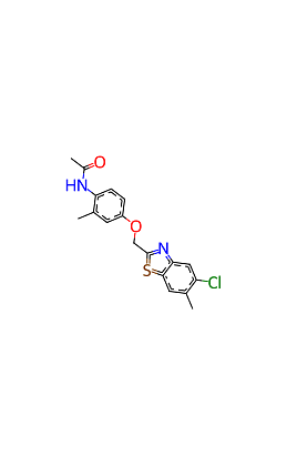 CC(=O)Nc1ccc(OCc2nc3cc(Cl)c(C)cc3s2)cc1C